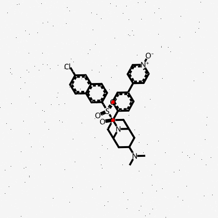 CN(C)C1CC2CN(S(=O)(=O)c3ccc4cc(Cl)ccc4c3)CC(C1)N2C(=O)c1ccc(-c2cc[n+]([O-])cc2)cc1